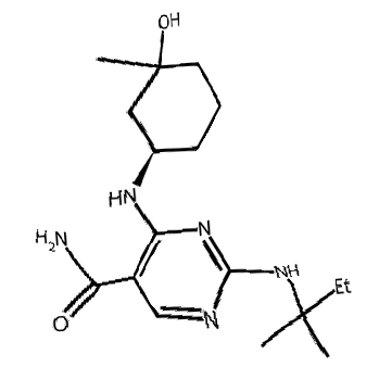 CCC(C)(C)Nc1ncc(C(N)=O)c(N[C@@H]2CCCC(C)(O)C2)n1